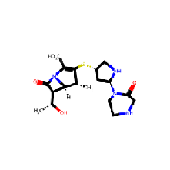 C[C@@H](O)C1C(=O)N2C(C(=O)O)=C(S[C@@H]3CN[C@@H](N4CCNCC4=O)C3)[C@H](C)[C@@H]12